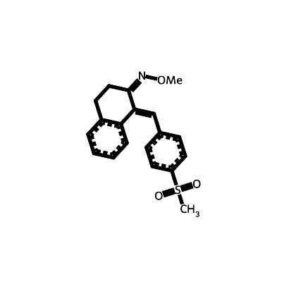 CON=C1CCc2ccccc2C1=Cc1ccc(S(C)(=O)=O)cc1